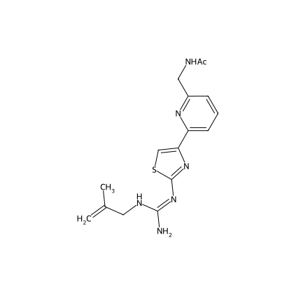 C=C(C)CNC(N)=Nc1nc(-c2cccc(CNC(C)=O)n2)cs1